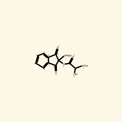 CCCCCCCCC(O)C(=O)OC1(CCCCCCC)C(=O)c2ccccc2C1=O